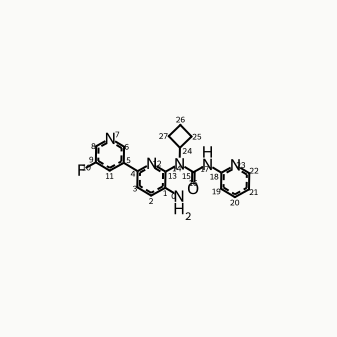 Nc1ccc(-c2cncc(F)c2)nc1N(C(=O)Nc1ccccn1)C1CCC1